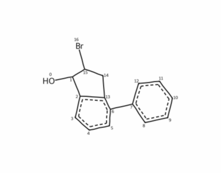 OC1c2cccc(-c3ccccc3)c2CC1Br